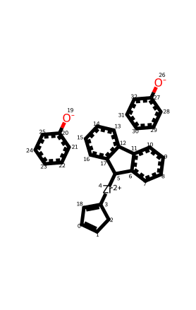 C1=CC[C]([Zr+2][CH]2c3ccccc3-c3ccccc32)=C1.[O-]c1ccccc1.[O-]c1ccccc1